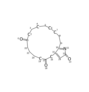 O=C1CCCCCCCCC2=NC(=O)C=C2CC(=O)CCCC1